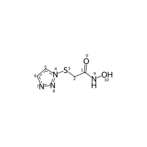 O=C(CSn1ccnn1)NO